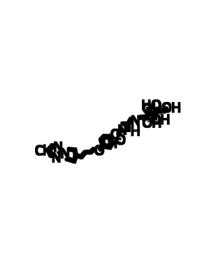 O=C(Cc1ccc(OCCCCC2CCN(c3ncc(Cl)cn3)CC2)cc1F)N1CC(CNC[C@H](O)[C@@H](O)[C@H](O)[C@H](O)CO)C1